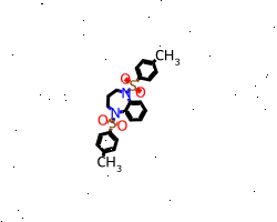 Cc1ccc(S(=O)(=O)N2CCCN(S(=O)(=O)c3ccc(C)cc3)c3ccccc32)cc1